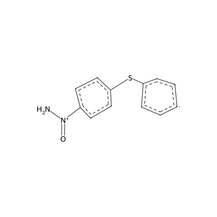 N[N+](=O)c1ccc(Sc2cc[c]cc2)cc1